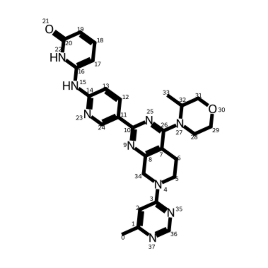 Cc1cc(N2CCc3c(nc(-c4ccc(Nc5cccc(=O)[nH]5)nc4)nc3N3CCOCC3C)C2)ncn1